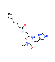 CCCCCCCCCCCCCCCC(=O)NCC(=O)N[C@@H](Cc1c[nH]cn1)C(=O)NCC(=O)O